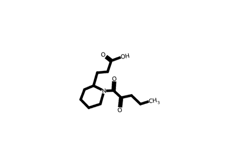 CCCC(=O)C(=O)N1CCCCC1CCC(=O)O